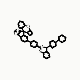 c1ccc(-c2ccc(C3NC(c4ccc(-c5ccc6c(c5)C5(c7ccccc7Oc7ccccc75)c5ccccc5-6)cc4)=Nc4ccccc43)cc2)cc1